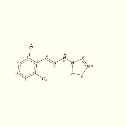 Clc1cccc(Cl)c1C=NNN1C=NCC1